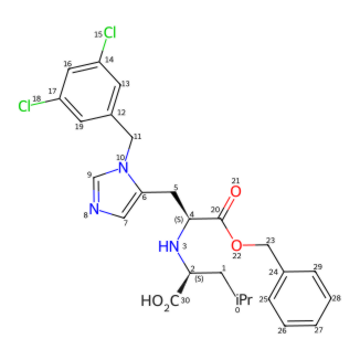 CC(C)C[C@H](N[C@@H](Cc1cncn1Cc1cc(Cl)cc(Cl)c1)C(=O)OCc1ccccc1)C(=O)O